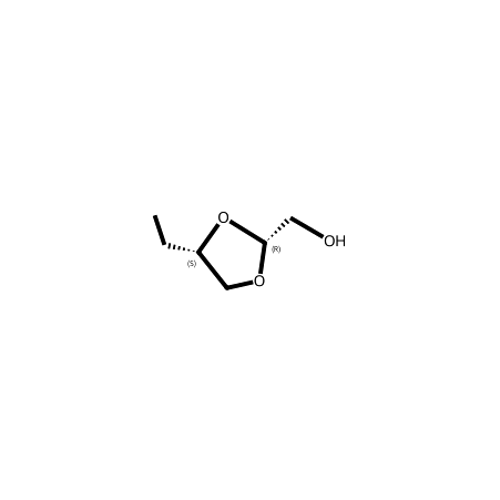 CC[C@H]1CO[C@@H](CO)O1